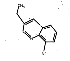 CCc1cc2cccc(Br)c2nn1